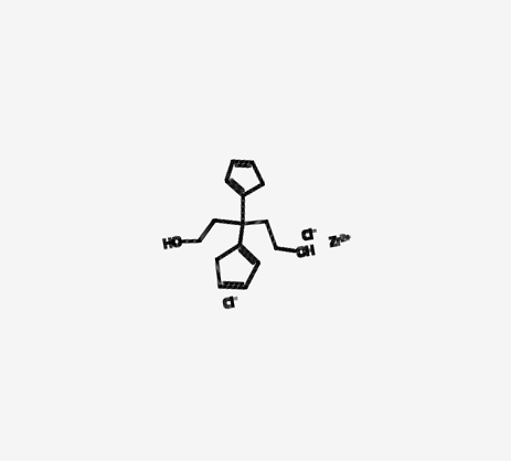 OCCC(CCO)(C1=CC=CC1)C1=CC=CC1.[Cl-].[Cl-].[Zr+2]